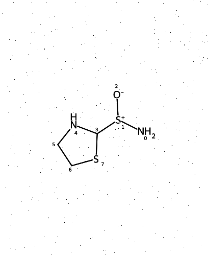 N[S+]([O-])C1NCCS1